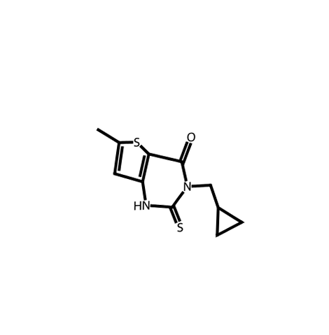 Cc1cc2[nH]c(=S)n(CC3CC3)c(=O)c2s1